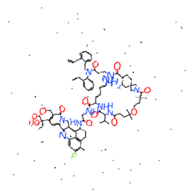 C=Cc1ccccc1CN(C(=O)CCNC(=O)C1CCC2(CC1)CN(C(=O)C(C)(C)CCOC(C)(C)CCC(=O)NC(C(=O)NC(CCCCN)C(=O)NCC(=O)NC1CCc3c(C)c(F)cc4nc5c(c1c34)Cn1c-5cc3c(c1=O)COC(=O)C3(O)CC)C(C)C)C2)c1ccccc1CC